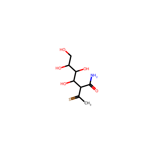 CC(=S)C(C(N)=O)C(O)C(O)C(O)CO